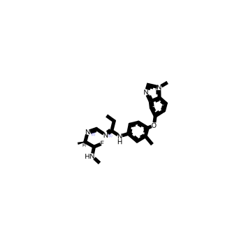 CC/C(=N\C=N/[C@H](C)C(F)NC)Nc1ccc(Oc2ccc3c(c2)ncn3C)c(C)c1